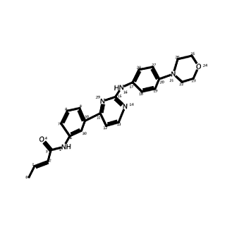 CC=CC(=O)Nc1cccc(-c2ccnc(Nc3ccc(N4CCOCC4)cc3)n2)c1